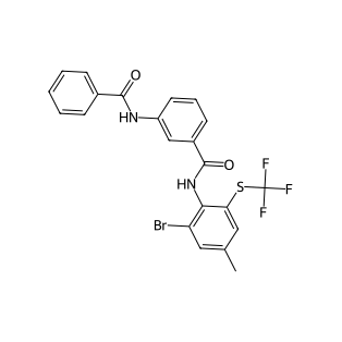 Cc1cc(Br)c(NC(=O)c2cccc(NC(=O)c3ccccc3)c2)c(SC(F)(F)F)c1